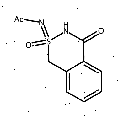 CC(=O)N=S1(=O)Cc2ccccc2C(=O)N1